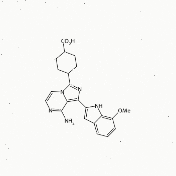 COc1cccc2cc(-c3nc(C4CCC(C(=O)O)CC4)n4ccnc(N)c34)[nH]c12